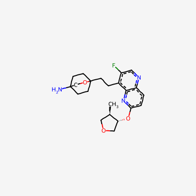 C[C@@H]1COC[C@H]1Oc1ccc2ncc(F)c(CCC34CCC(N)(CC3)CO4)c2n1